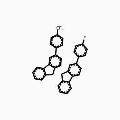 FC(F)(F)c1ccc(-c2ccc3c(c2)-c2ccccc2C3)cc1.Fc1ccc(-c2ccc3c(c2)Cc2ccccc2-3)cc1